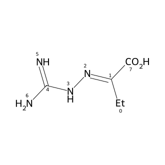 CC/C(=N\NC(=N)N)C(=O)O